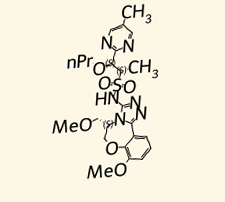 CCCO[C@@H](c1ncc(C)cn1)[C@H](C)S(=O)(=O)Nc1nnc2n1[C@@H](COC)COc1c(OC)cccc1-2